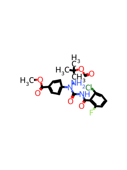 CC(C)(C)OC=O.COC(=O)c1ccc(N(N)C(=O)NC(=O)c2c(F)cccc2Cl)cc1